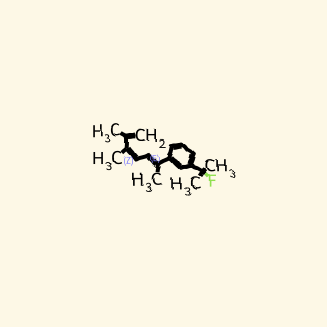 C=C(C)/C(C)=C\C=C(/C)c1cccc(C(C)(C)F)c1